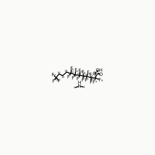 CNC.O=S(=O)(O)C(F)(F)C(F)(F)C(F)(F)C(F)(F)C(F)(F)C(F)(F)C(F)(F)CCCC(F)(F)F